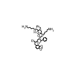 CCN(Cc1ccc2c(c1)OCO2)C(=O)CN(C(=O)CN(CCCCN)C(=O)CN(CC(C)C)C(=O)CNCCCCN)C(C)c1ccccc1